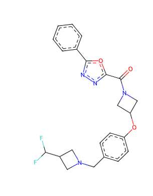 O=C(c1nnc(-c2ccccc2)o1)N1CC(Oc2ccc(CN3CC(C(F)F)C3)cc2)C1